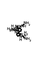 NCCNSc1ccc(-c2cccc3[nH]c([C@@H](N)CN)nc23)c(/C(N)=N/NN)c1S(N)(=O)=O